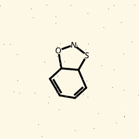 C1=CC2O[N]SC2C=C1